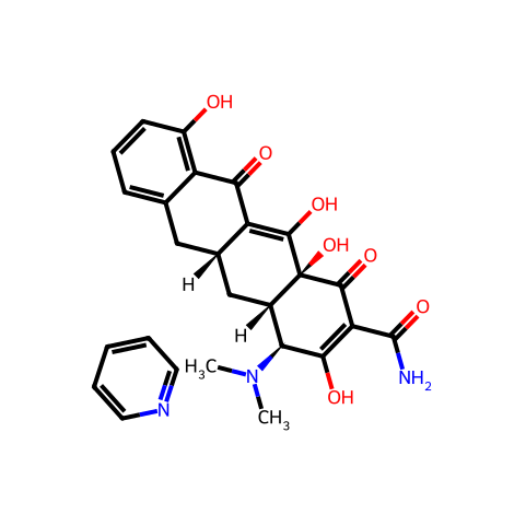 CN(C)[C@@H]1C(O)=C(C(N)=O)C(=O)[C@@]2(O)C(O)=C3C(=O)c4c(O)cccc4C[C@H]3C[C@@H]12.c1ccncc1